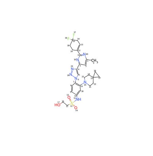 Cc1cc(-c2cn(-c3ccc(NS(=O)(=O)CCO)cc3N3CCC4(CC3)CC4)nn2)nc(C2=CCC(F)(F)CC2)n1